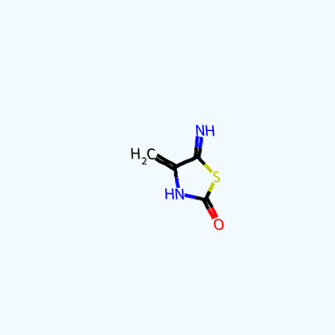 C=C1NC(=O)SC1=N